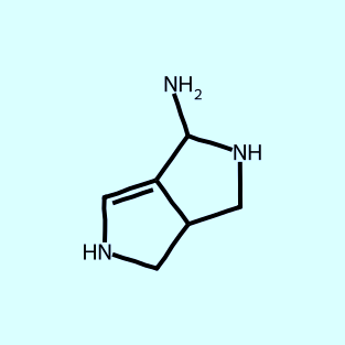 NC1NCC2CNC=C21